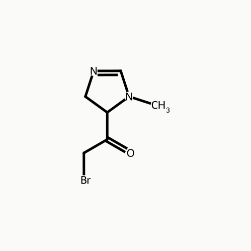 CN1C=NCC1C(=O)CBr